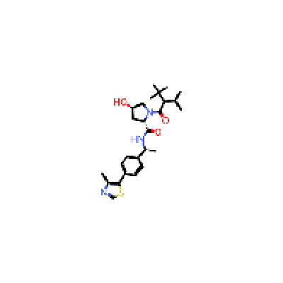 Cc1ncsc1-c1ccc([C@H](C)NC(=O)[C@@H]2C[C@@H](O)CN2C(=O)C(C(C)C)C(C)(C)C)cc1